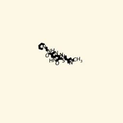 Cn1cc(-c2cn3nc4c5ncc(C(=O)NCCN6CCCCC6)cc5[nH]c(=O)c4c3s2)cn1